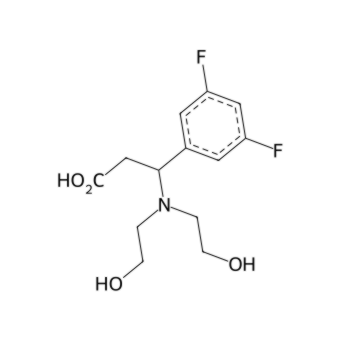 O=C(O)CC(c1cc(F)cc(F)c1)N(CCO)CCO